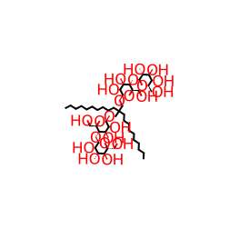 CCCCCCCCCCC(CCCCCCCCCC)(CO[C@@H]1O[C@H](CO)[C@@H](O[C@H]2O[C@H](CO)[C@@H](O)[C@H](O)[C@H]2O)[C@H](O)[C@H]1O)CO[C@@H]1O[C@H](CO)[C@@H](O[C@H]2O[C@H](CO)[C@@H](O)[C@H](O)[C@H]2O)[C@H](O)[C@H]1O